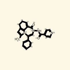 Cc1cc2c3n1C(c1ccccc1)=CN(NC(=O)c1ccncc1)C(=O)C3=CCC2